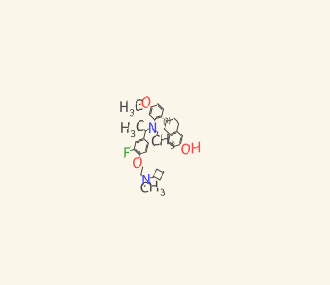 CCN(c1cc(OC)ccc1[C@@H]1CCc2cc(O)ccc2C1)C(C)c1ccc(OCCN(C)C2CCC2)c(F)c1